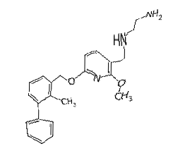 COc1nc(OCc2cccc(-c3ccccc3)c2C)ccc1CNCCN